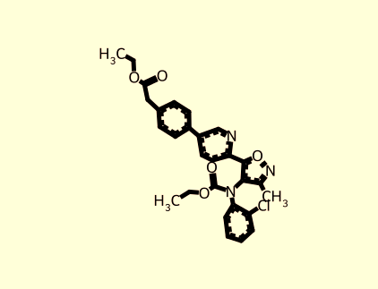 CCOC(=O)Cc1ccc(-c2ccc(-c3onc(C)c3N(C(=O)OCC)c3ccccc3Cl)nc2)cc1